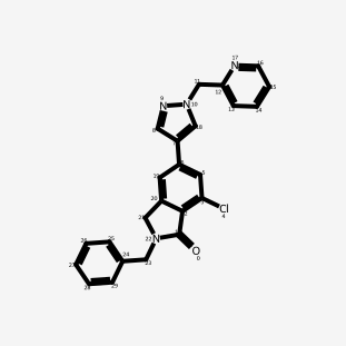 O=C1c2c(Cl)cc(-c3cnn(Cc4ccccn4)c3)cc2CN1Cc1ccccc1